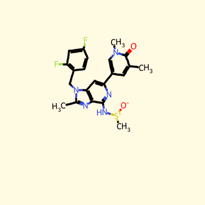 Cc1cc(-c2cc3c(nc(C)n3Cc3ccc(F)cc3F)c(N[S+](C)[O-])n2)cn(C)c1=O